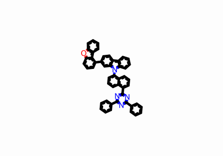 c1ccc(-c2nc(-c3ccccc3)nc(-c3cccc4c(-n5c6ccccc6c6ccc(-c7cccc8oc9ccccc9c78)cc65)cccc34)n2)cc1